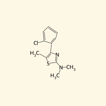 Cc1sc(N(C)C)nc1-c1ccccc1Cl